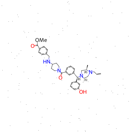 C=CCN1C[C@H](C)N([C@@H](c2cccc(O)c2)c2cccc(C(=O)N3CCC(NCc4ccc(C(=O)OC)cc4)CC3)c2)C[C@H]1C